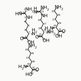 N=C(N)NCCC[C@H](N)C(=O)O.N=C(N)NCCC[C@H](N)C(=O)O.NCCCC[C@H](N)C(=O)O.NCCCC[C@H](N)C(=O)O